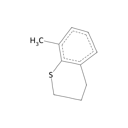 Cc1cccc2c1SCCC2